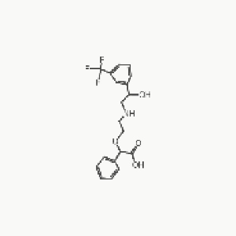 O=C(O)C(OCCNCC(O)c1cccc(C(F)(F)F)c1)c1ccccc1